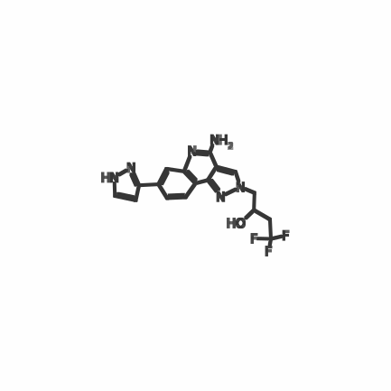 Nc1nc2cc(-c3cc[nH]n3)ccc2c2nn(CC(O)CC(F)(F)F)cc12